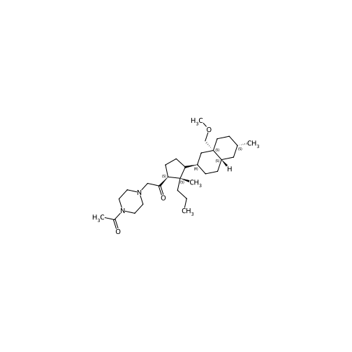 CCC[C@@]1(C)C([C@@H]2CC[C@H]3C[C@@H](C)CC[C@]3(COC)C2)CC[C@@H]1C(=O)CN1CCN(C(C)=O)CC1